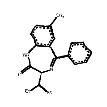 CCC(CC)[C@@H]1N=C(c2ccccc2)c2cc(C)ccc2NC1=O